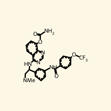 CNCC(Nc1ncnc2c(OC(N)=O)cccc12)c1cccc(NC(=O)c2ccc(OC(F)(F)F)cc2)c1